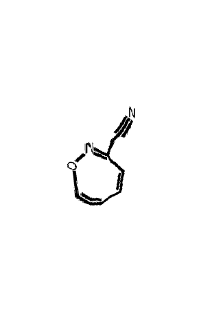 N#CC1=NOC=CC=C1